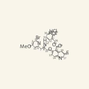 COc1cc(Br)nc(C[C@@H](N)COc2ccc3ncc(F)cc3c2C(=O)OCc2ccccc2)c1.Cl.Cl